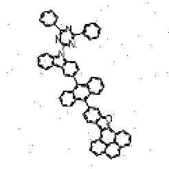 c1ccc(-c2nc(-c3ccccc3)nc(-n3c4ccccc4c4cc(-c5c6ccccc6c(-c6ccc7c(c6)oc6c8cccc9ccc%10cccc(c76)c%10c98)c6ccccc56)ccc43)n2)cc1